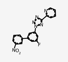 O=[N+]([O-])c1cccc(-c2cc(F)cc(-n3nnc(-c4ccccn4)n3)c2)c1